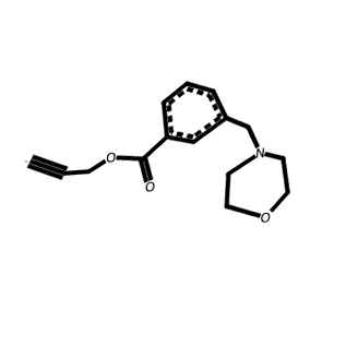 [C]#CCOC(=O)c1cccc(CN2CCOCC2)c1